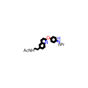 CCCNc1ccc(Oc2ccc3cc(CCNC(C)=O)ccc3n2)cc1